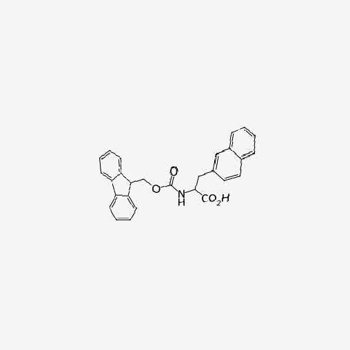 O=C(NC(Cc1ccc2ccccc2c1)C(=O)O)OCC1c2ccccc2-c2ccccc21